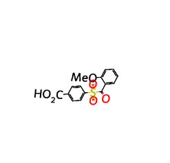 COc1ccccc1C(=O)S(=O)(=O)c1ccc(C(=O)O)cc1